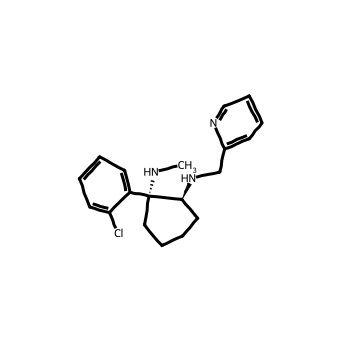 CN[C@@]1(c2ccccc2Cl)CCCC[C@@H]1NCc1ccccn1